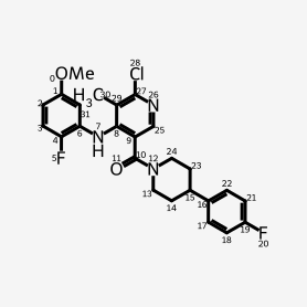 COc1ccc(F)c(Nc2c(C(=O)N3CCC(c4ccc(F)cc4)CC3)cnc(Cl)c2C)c1